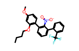 CCCCOc1cc(OC)ccc1-c1cccc(-c2ccccc2C(F)(F)F)c1[N+](=O)[O-]